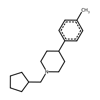 Cc1ccc(C2CCN(CC3CCCC3)CC2)cc1